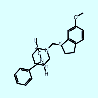 COc1ccc2c(c1)[C@H](CN1C[C@@H]3CC[C@H]1CN3c1ccccc1)CC2